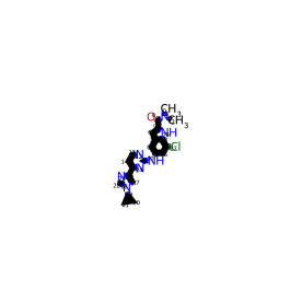 CN(C)C(=O)c1cc2cc(Nc3nccc(-c4cn(C5CC5)cn4)n3)cc(Cl)c2[nH]1